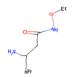 CCCC(N)CC(=O)NOCC